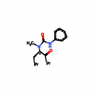 CC(C)C[C@H](C(=O)C(C)C)N(C)C(=O)Nc1ccccc1